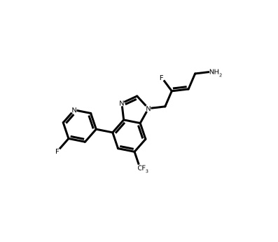 NC/C=C(\F)Cn1cnc2c(-c3cncc(F)c3)cc(C(F)(F)F)cc21